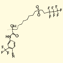 C[C@](O)(CCCCCCCCS(=O)(=O)CCC(F)(F)C(F)(F)C(F)(F)F)C(=O)Nc1ccc(C#N)c(C(F)(F)F)c1